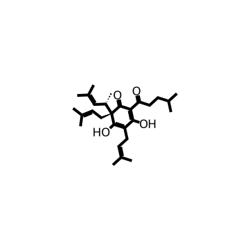 CC(C)=CCC1=C(O)[C@](CC=C(C)C)([C@@H](C)C=C(C)C)C(=O)C(C(=O)CCC(C)C)=C1O